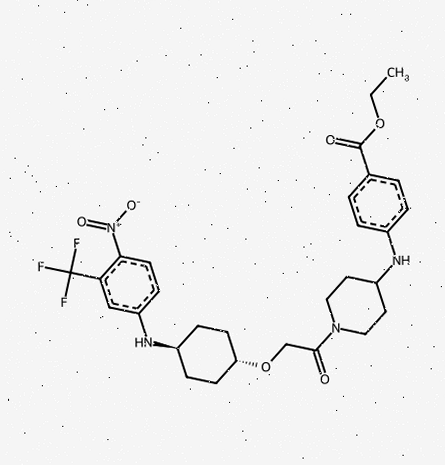 CCOC(=O)c1ccc(NC2CCN(C(=O)CO[C@H]3CC[C@H](Nc4ccc([N+](=O)[O-])c(C(F)(F)F)c4)CC3)CC2)cc1